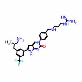 CC(CN)Cc1cc(-c2cc3cn(-c4ccc(CNCCCNC(=N)N)cc4)c(=O)nc3[nH]2)cc(C(F)(F)F)c1